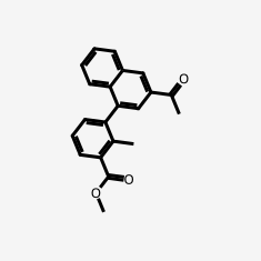 COC(=O)c1cccc(-c2cc(C(C)=O)cc3ccccc23)c1C